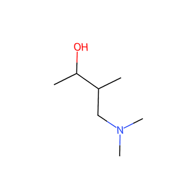 CC(O)C(C)CN(C)C